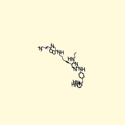 CCCNc1nc(Nc2ccc(CN3C=CNN3)cc2)ncc1C#CCCCNC(=O)CN(C)C(=O)/C=C/CN(C)C